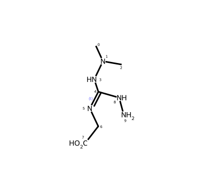 CN(C)N/C(=N/CC(=O)O)NN